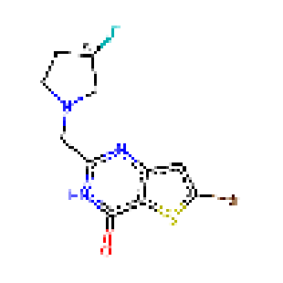 O=c1[nH]c(CN2CC[C@@H](F)C2)nc2cc(Br)sc12